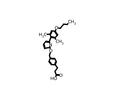 CCCCOc1cc(C)c(-c2cccc(OCc3ccc(CCC(=O)O)cc3)n2)c(C)c1